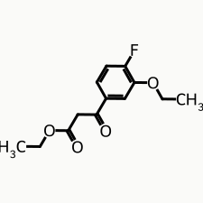 CCOC(=O)CC(=O)c1ccc(F)c(OCC)c1